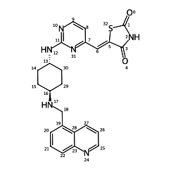 O=C1NC(=O)/C(=C/c2ccnc(N[C@H]3CC[C@H](NCc4cccc5ncccc45)CC3)n2)S1